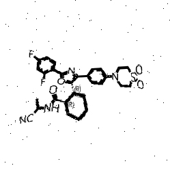 CC(C#N)NC(=O)[C@@H]1CCCC[C@H]1c1oc(-c2ccc(F)cc2F)nc1-c1ccc(N2CCS(=O)(=O)CC2)cc1